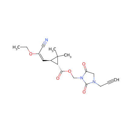 C#CCN1CC(=O)N(COC(=O)[C@@H]2[C@@H](/C=C(\C#N)OCC)C2(C)C)C1=O